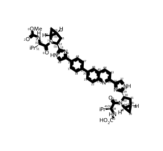 COC(=O)N[C@H](C(=O)N1[C@@H]2C[C@H]2C[C@H]1c1nc(-c2ccc(-c3ccc4nc(-c5c[nH]c([C@@H]6C[C@H]7C[C@H]7N6C(=O)[C@@H](NC(=O)O)C(C)C)n5)ccc4c3)cc2)c[nH]1)C(C)C